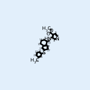 COC(=O)c1ccncc1NC[C@@H]1CCCc2cc(Sc3cccc(C)c3)ccc21